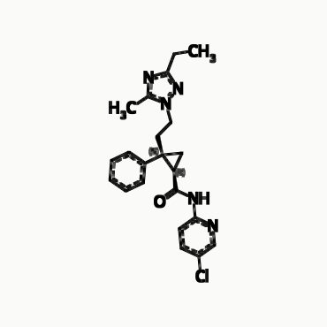 CCc1nc(C)n(CC[C@@]2(c3ccccc3)C[C@H]2C(=O)Nc2ccc(Cl)cn2)n1